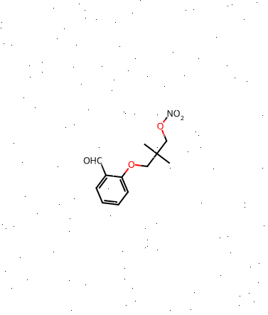 CC(C)(COc1ccccc1C=O)CO[N+](=O)[O-]